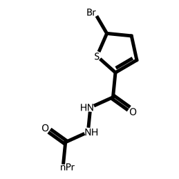 CCCC(=O)NNC(=O)C1=CCC(Br)S1